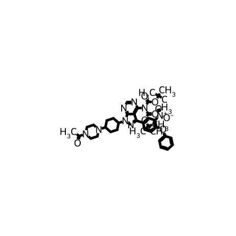 CC(=O)N1CCN(C2CCC(n3nc(-c4ccc(Oc5ccccc5)c([N+](=O)[O-])c4)c4c(N(C(=O)OC(C)(C)C)C(=O)OC(C)(C)C)ncnc43)CC2)CC1